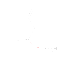 C=CCC(C)OC(=O)O